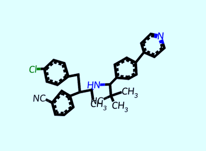 CC(NC(c1ccc(-c2ccncc2)cc1)C(C)(C)C#N)C(Cc1ccc(Cl)cc1)c1cccc(C#N)c1